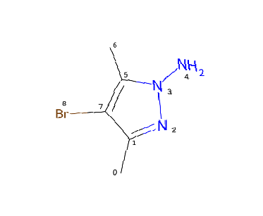 Cc1nn(N)c(C)c1Br